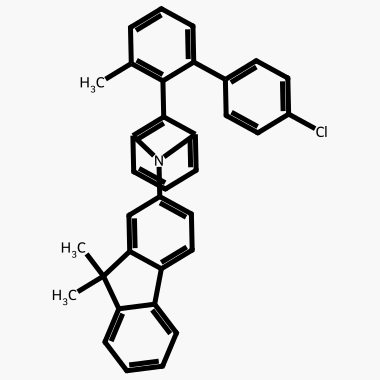 Cc1cccc(-c2ccc(Cl)cc2)c1-c1c2cccc1N2c1ccc2c(c1)C(C)(C)c1ccccc1-2